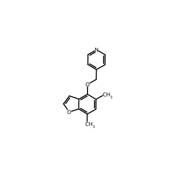 Cc1cc(C)c2occc2c1OCc1ccncc1